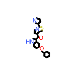 O=C(c1ccn2c1CSC2c1cccnc1)c1c[nH]c2ccc(OCc3ccccc3)cc12